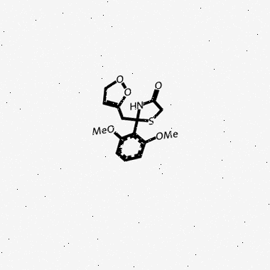 COc1cccc(OC)c1C1(CC2=CCOO2)NC(=O)CS1